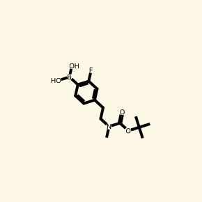 CN(CCc1ccc(B(O)O)c(F)c1)C(=O)OC(C)(C)C